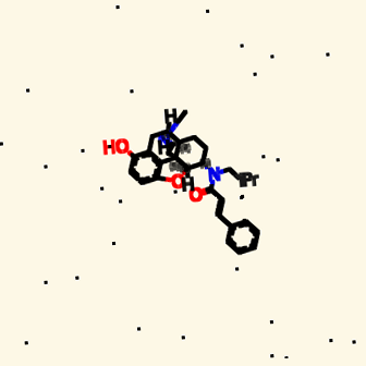 CC(C)CN(C(=O)C=Cc1ccccc1)[C@H]1CC[C@H]2[C@H]3Cc4c(O)ccc5c4[C@@]2(CCN3C)[C@H]1O5